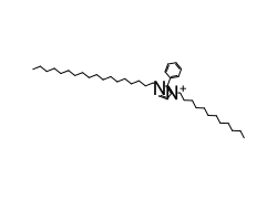 CCCCCCCCCCCCCCCCCCn1cc[n+](CCCCCCCCCCCC)c1-c1ccccc1